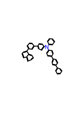 c1ccc(-c2ccc(-c3ccc(N(c4ccccc4)c4ccc(-c5cccc(-c6cccc7ccccc67)c5)cc4)cc3)cc2)cc1